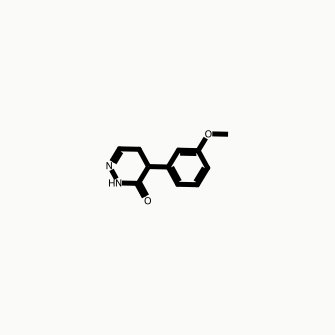 COc1cccc(C2CC=NNC2=O)c1